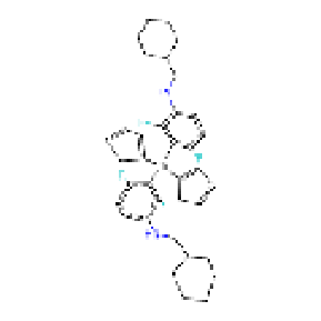 Fc1ccc(NCC2CCCCC2)c(F)[c]1[Ti]([C]1=CC=CC1)([C]1=CC=CC1)[c]1c(F)ccc(NCC2CCCCC2)c1F